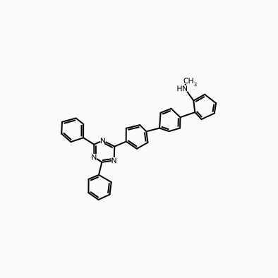 CNc1ccccc1-c1ccc(-c2ccc(-c3nc(-c4ccccc4)nc(-c4ccccc4)n3)cc2)cc1